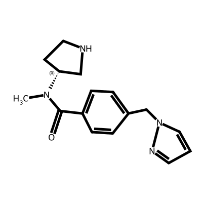 CN(C(=O)c1ccc(Cn2cccn2)cc1)[C@@H]1CCNC1